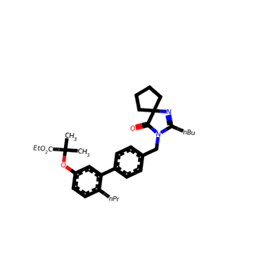 CCCCC1=NC2(CCCC2)C(=O)N1Cc1ccc(-c2cc(OC(C)(C)C(=O)OCC)ccc2CCC)cc1